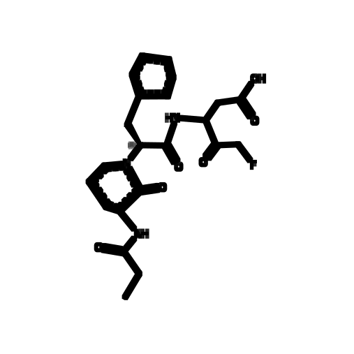 CCC(=O)Nc1cccn([C@@H](Cc2ccccc2)C(=O)NC(CC(=O)O)C(=O)CF)c1=O